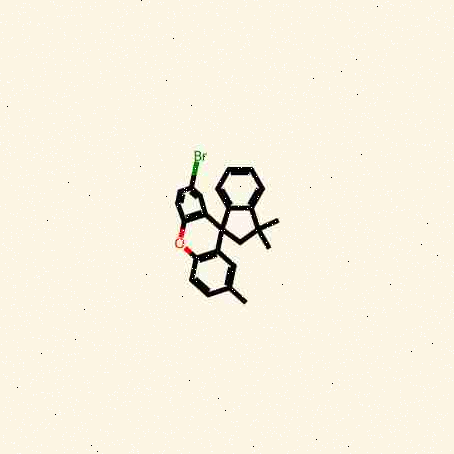 Cc1ccc2c(c1)C1(CC(C)(C)c3ccccc31)c1cc(Br)ccc1O2